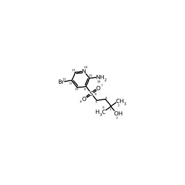 CC(C)(O)CCS(=O)(=O)c1cc(Br)cnc1N